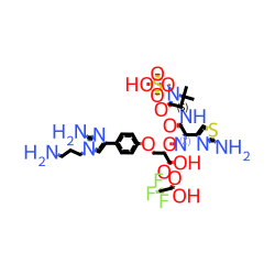 CC1(C)[C@H](NC(=O)/C(=N\OC(COc2ccc(-c3cn(CCCN)c(N)n3)cc2)C(=O)O)c2csc(N)n2)C(=O)N1OS(=O)(=O)O.O=C(O)C(F)(F)F